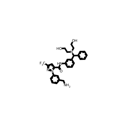 NCc1cccc(-n2nc(C(F)(F)F)cc2C(=O)Nc2cccc(C(c3ccccc3)N(CCO)CCO)c2)c1